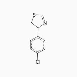 Clc1ccc([C]2CSC=N2)cc1